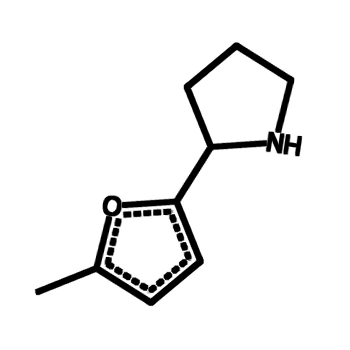 Cc1ccc(C2CCCN2)o1